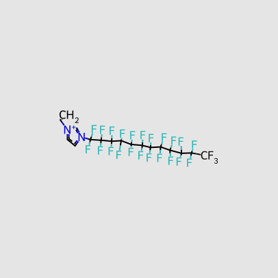 C=C[n+]1ccn(C(F)(F)C(F)(F)C(F)(F)C(F)(F)C(F)(F)C(F)(F)C(F)(F)C(F)(F)C(F)(F)C(F)(F)C(F)(F)C(F)(F)F)c1